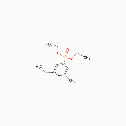 CCOP(=O)(OCC)c1cc(C)cc(CC)c1